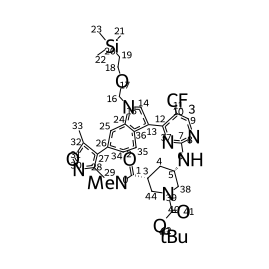 CNC(=O)[C@@H]1C[C@H](Nc2ncc(C(F)(F)F)c(-c3cn(COCC[Si](C)(C)C)c4cc(-c5c(C)noc5C)ccc34)n2)CN(C(=O)OC(C)(C)C)C1